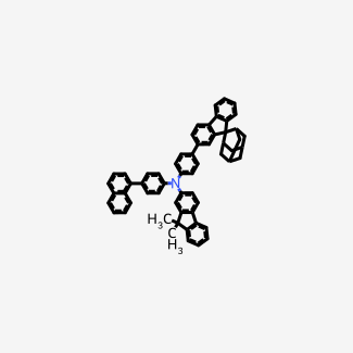 CC1(C)c2ccccc2-c2ccc(N(c3ccc(-c4ccc5c(c4)C4(c6ccccc6-5)C5CC6CC(C5)CC4C6)cc3)c3ccc(-c4cccc5ccccc45)cc3)cc21